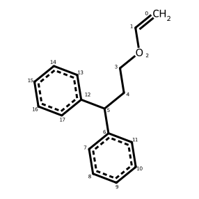 C=COCCC(c1ccccc1)c1ccccc1